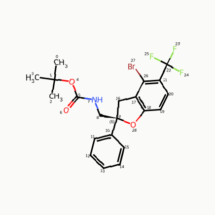 CC(C)(C)OC(=O)NC[C@@]1(c2ccccc2)Cc2c(ccc(C(F)(F)F)c2Br)O1